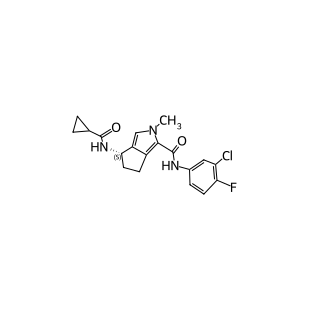 Cn1cc2c(c1C(=O)Nc1ccc(F)c(Cl)c1)CC[C@@H]2NC(=O)C1CC1